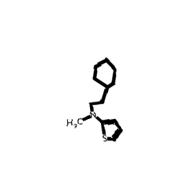 CN(CCC1CCCCC1)c1cccs1